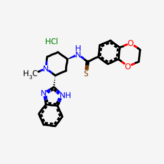 CN1CC[C@@H](NC(=S)c2ccc3c(c2)OCCO3)C[C@@H]1c1nc2ccccc2[nH]1.Cl